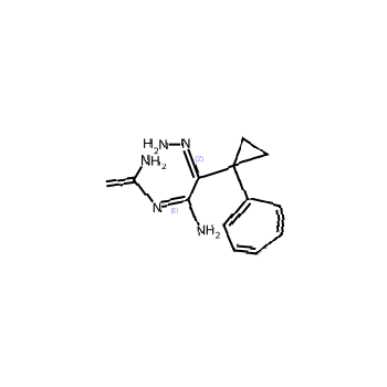 C=C(N)/N=C(N)\C(=N/N)C1(c2ccccc2)CC1